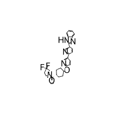 O=C([C@H]1CC[C@H](Oc2ccc(-c3ccc(-c4nc5ccccc5[nH]4)cn3)cn2)CC1)N1CCC(F)(F)C1